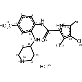 Cc1[nH]c(C(=O)Nc2ccc(C(=O)O)cc2NC2CCNCC2)c(Cl)c1Cl.Cl